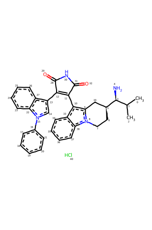 CC(C)[C@H](N)[C@H]1CCn2c(c(C3=C(c4cn(-c5ccccc5)c5ccccc45)C(=O)NC3=O)c3ccccc32)C1.Cl